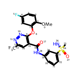 COc1ccc(F)cc1Oc1nnc(C(F)(F)F)cc1C(=O)Nc1cccc(S(C)(=N)=O)c1